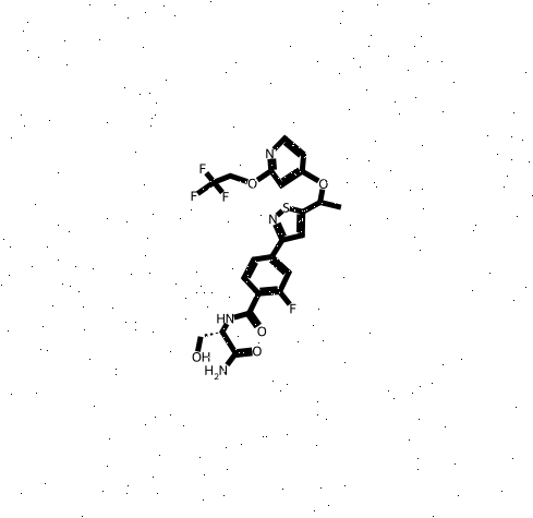 CC(Oc1ccnc(OCC(F)(F)F)c1)c1cc(-c2ccc(C(=O)N[C@@H](CO)C(N)=O)c(F)c2)ns1